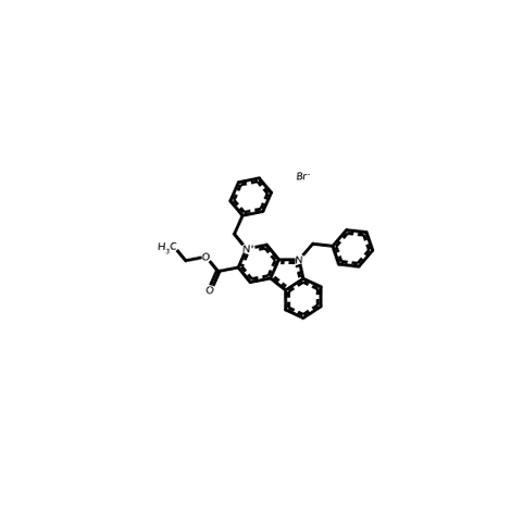 CCOC(=O)c1cc2c3ccccc3n(Cc3ccccc3)c2c[n+]1Cc1ccccc1.[Br-]